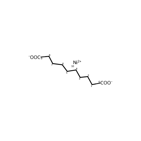 O=C([O-])CCCCCCCCC(=O)[O-].[Ni+2]